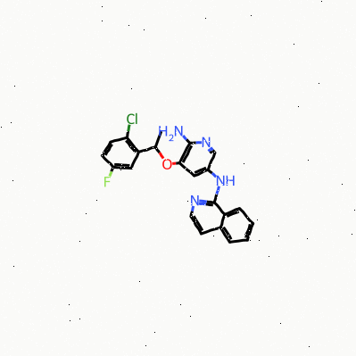 CC(Oc1cc(Nc2nccc3ccccc23)cnc1N)c1cc(F)ccc1Cl